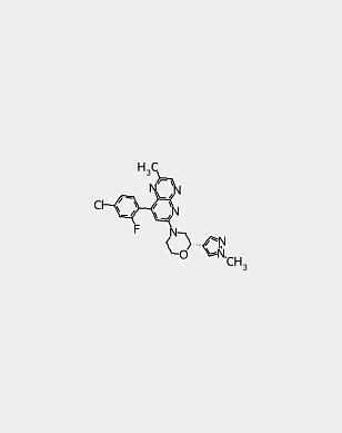 Cc1cnc2nc(N3CCO[C@@H](c4cnn(C)c4)C3)cc(-c3ccc(Cl)cc3F)c2n1